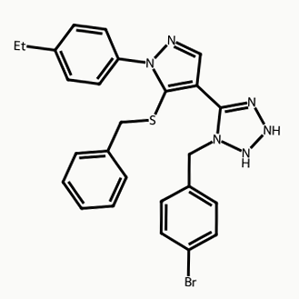 CCc1ccc(-n2ncc(C3=NNNN3Cc3ccc(Br)cc3)c2SCc2ccccc2)cc1